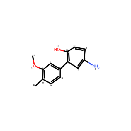 COc1cc(-c2cc(N)ccc2O)ccc1C